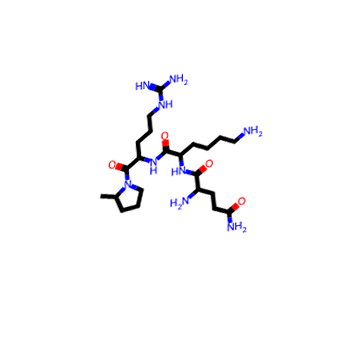 CC1CCCN1C(=O)C(CCCNC(=N)N)NC(=O)C(CCCCN)NC(=O)C(N)CCC(N)=O